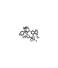 C[C@@H](Oc1cc(/C(C=N)=C/Nc2ccncc2)cc2ncn(C3CC3)c12)[C@H]1CNC(=O)C1